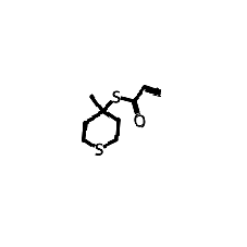 C=CC(=O)SC1(C)CCSCC1